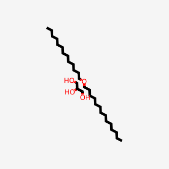 CCCCCCCCCCCCCCOCCCCCCCCCCCCC.OCC(O)CO